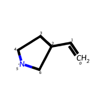 C=CC1CC[N]C1